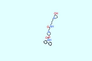 O=C(CCN1CCC(OC(=O)Nc2ccccc2-c2ccccc2)CC1)NCCCCCN1CCCC(O)C1